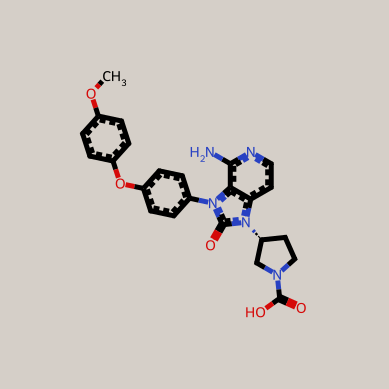 COc1ccc(Oc2ccc(-n3c(=O)n([C@@H]4CCN(C(=O)O)C4)c4ccnc(N)c43)cc2)cc1